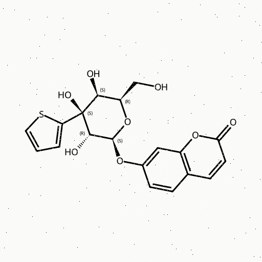 O=c1ccc2ccc(O[C@@H]3O[C@H](CO)[C@H](O)[C@@](O)(c4cccs4)[C@H]3O)cc2o1